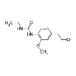 CCNC(=O)Nc1ccc(CC[O])cc1OC